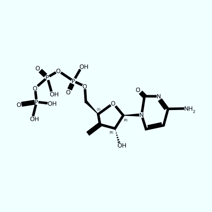 C=C1[C@@H](O)[C@H](n2ccc(N)nc2=O)O[C@@H]1COP(=O)(O)OP(=O)(O)OP(=O)(O)O